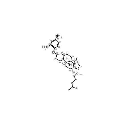 CC(C)CCC[C@@H](C)[C@H]1CC[C@H]2[C@@H]3CCC4CC(Oc5ccc(N)cc5N)CC[C@]4(C)[C@H]3CC[C@]12C